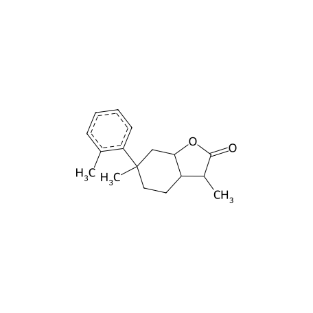 Cc1ccccc1C1(C)CCC2C(C1)OC(=O)C2C